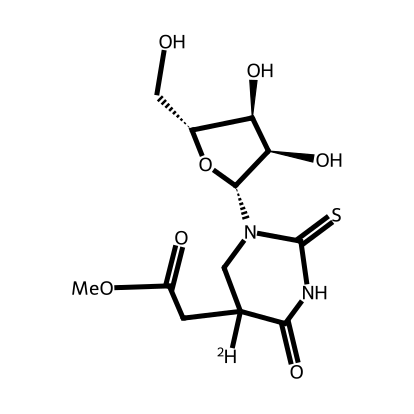 [2H]C1(CC(=O)OC)CN([C@@H]2O[C@H](CO)[C@@H](O)[C@H]2O)C(=S)NC1=O